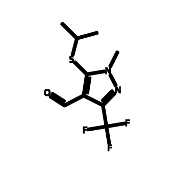 CC(C)Sc1c(C=O)c(C(F)(F)F)nn1C